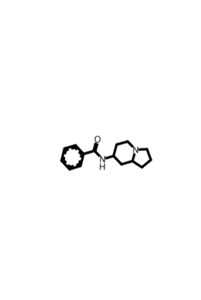 O=C(NC1CCN2CCCC2C1)c1ccccc1